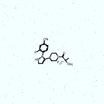 C[C@@](O)(C(=O)N1CCC(C2=CCNN2c2ccc(C#N)cc2F)CC1)C(F)(F)F